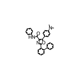 CN(C)c1ccc(-c2oc(-c3ccccc3-c3ccccc3)nc2C(=O)Nc2ccccc2)cc1